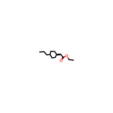 CCCC1CCC(=CC(=O)OCC)CC1